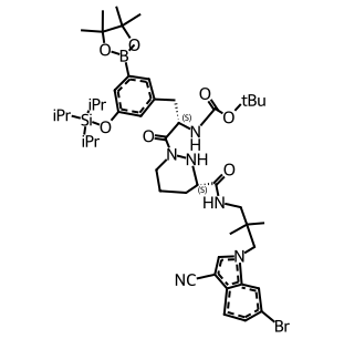 CC(C)[Si](Oc1cc(C[C@H](NC(=O)OC(C)(C)C)C(=O)N2CCC[C@@H](C(=O)NCC(C)(C)Cn3cc(C#N)c4ccc(Br)cc43)N2)cc(B2OC(C)(C)C(C)(C)O2)c1)(C(C)C)C(C)C